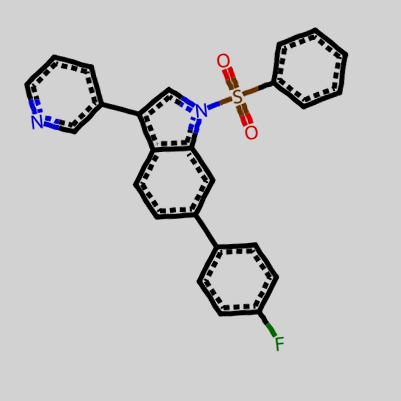 O=S(=O)(c1ccccc1)n1cc(-c2cccnc2)c2ccc(-c3ccc(F)cc3)cc21